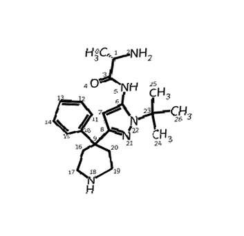 C[C@H](N)C(=O)Nc1cc(C2(c3ccccc3)CCNCC2)nn1C(C)(C)C